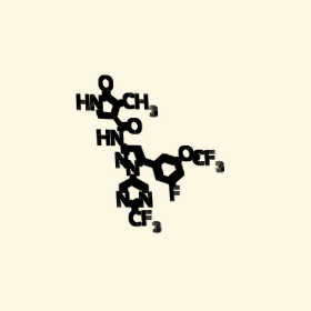 CC1C(=O)NC[C@@H]1C(=O)Nc1cc(-c2cc(F)cc(OC(F)(F)F)c2)n(-c2cnc(C(F)(F)F)nc2)n1